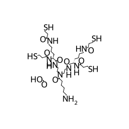 NCCCCCC(=O)N(CCNC(=O)[C@H](CCCCNC(=O)CCS)NC(=O)CCS)CCNC(=O)[C@H](CCCCNC(=O)CCS)NC(=O)CCS.O=CO